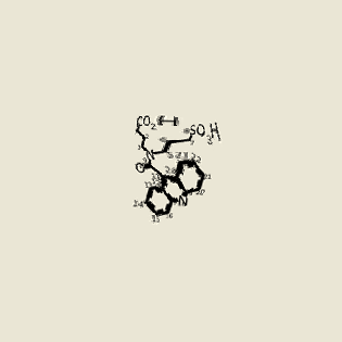 O=C(O)CCCN(CCCS(=O)(=O)O)C(=O)c1c2ccccc2nc2ccccc12